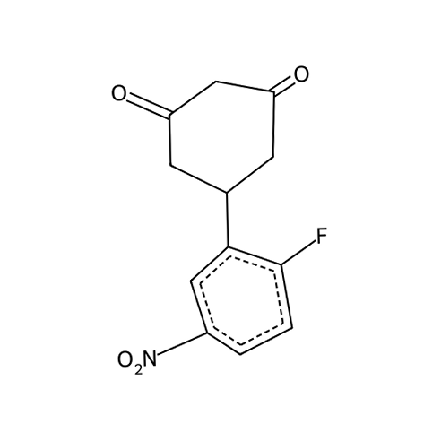 O=C1CC(=O)CC(c2cc([N+](=O)[O-])ccc2F)C1